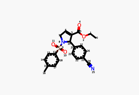 CCOC(=O)C1=CCN(S(=O)(=O)c2ccc(C)cc2)C1c1ccc(C#N)cc1